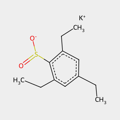 CCc1cc(CC)c(S(=O)[O-])c(CC)c1.[K+]